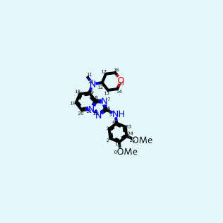 COc1ccc(Nc2nc3c(N(C)C4CCOCC4)cccn3n2)cc1OC